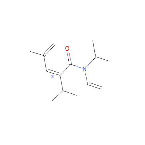 C=CN(C(=O)/C(=C\C(=C)C)C(C)C)C(C)C